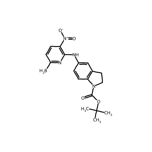 Bc1ccc([N+](=O)[O-])c(Nc2ccc3c(c2)CCN3C(=O)OC(C)(C)C)n1